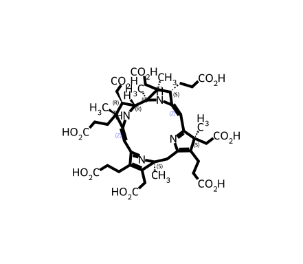 C[C@@]1(CC(=O)O)C2=NC(=C1CCC(=O)O)C[C@]1(C)N=C(/C=C3\N[C@H]([C@H](CC(=O)O)[C@@]3(C)CCC(=O)O)[C@]3(C)N/C(=C\2)[C@@H](CCC(=O)O)[C@]3(C)CC(=O)O)C(CCC(=O)O)=C1CC(=O)O